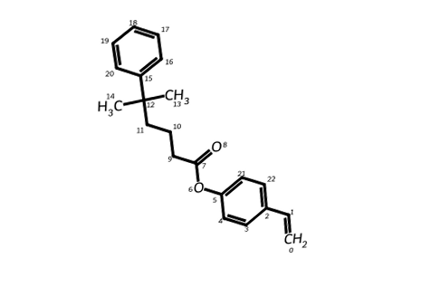 C=Cc1ccc(OC(=O)CCCC(C)(C)c2ccccc2)cc1